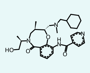 C[C@@H]1CN([C@H](C)CO)C(=O)c2cccc(NC(=O)c3ccncc3)c2O[C@H]1CN(C)CC1CCCCC1